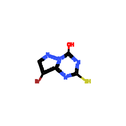 Oc1nc(S)nc2c(Br)cnn12